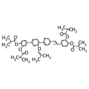 C=C(C)C(=O)Oc1ccc(/C=C/c2ccc(-c3ccc(-c4ccc(OC(=O)C(=C)C)c(OC(=O)C(=C)C)c4)cc3OC=C(C)C)cc2)cc1OC(=O)C(=C)C